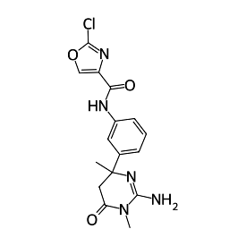 CN1C(=O)CC(C)(c2cccc(NC(=O)c3coc(Cl)n3)c2)N=C1N